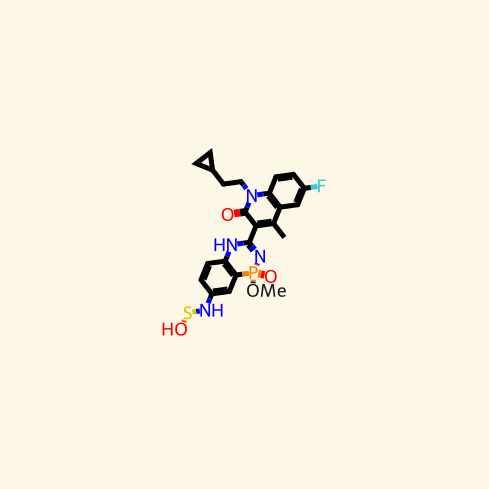 COP1(=O)N=C(c2c(C)c3cc(F)ccc3n(CCC3CC3)c2=O)Nc2ccc(NSO)cc21